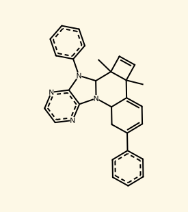 CC12C=CC1(C)C1N(c3ccccc3)c3nccnc3N1C1CC(c3ccccc3)=CC=C12